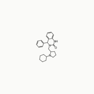 O=C1Nc2ccccc2C(c2ccccc2)N1CC1CCCN1C1CCCCC1